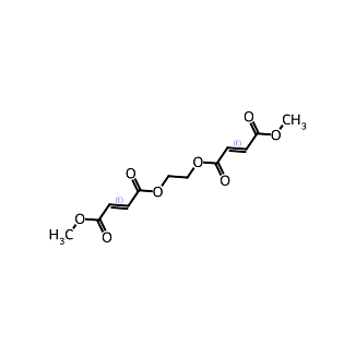 COC(=O)/C=C/C(=O)OCCOC(=O)/C=C/C(=O)OC